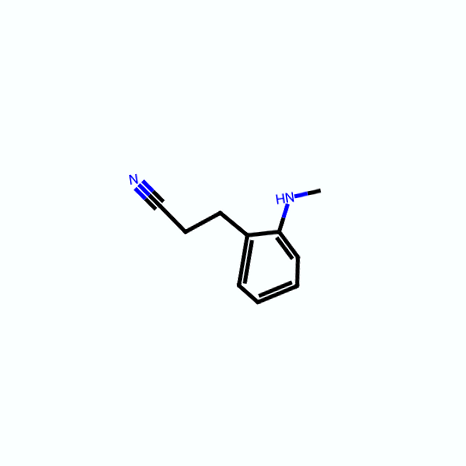 CNc1ccccc1CCC#N